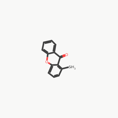 O=c1c2ccccc2oc2cccc([SiH3])c12